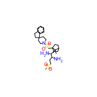 CC1(C)C2CCC1(CS(=O)(=O)N1CCC3(CCc4ccccc43)CC1)C(C(N)C(N)CCS(C)(=O)=O)C2